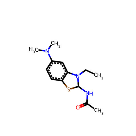 CCN1c2cc(N(C)C)ccc2SC1NC(C)=O